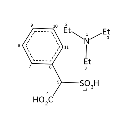 CCN(CC)CC.O=C(O)C(c1ccccc1)S(=O)(=O)O